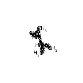 CSc1ccc(-c2nc(SCCSc3nc(-c4ccc(SC)cc4)c(-c4ccc(SC)cc4)[nH]3)[nH]c2-c2ccc(SC)cc2)cc1